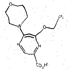 O=C(O)c1cnc(N2CCOCC2)c(OCC(F)(F)F)n1